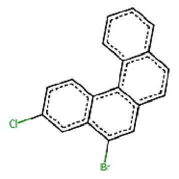 Clc1ccc2c(c1)c(Br)cc1ccc3ccccc3c12